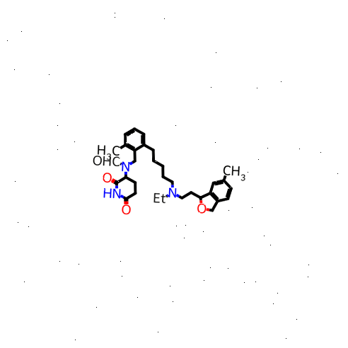 CCN(CCCCCc1cccc(C)c1CN(C=O)C1CCC(=O)NC1=O)CCC1OCc2ccc(C)cc21